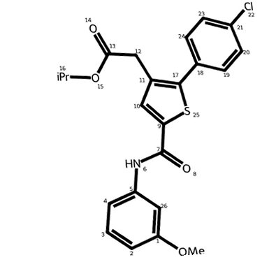 COc1cccc(NC(=O)c2cc(CC(=O)OC(C)C)c(-c3ccc(Cl)cc3)s2)c1